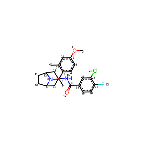 COc1ccc(C(C)N2C3CCC2CC(NC(=O)c2ccc(F)c(Cl)c2)C3)c(C)c1